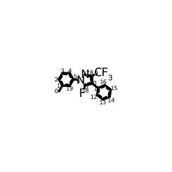 Cc1cccc(-n2nc(C(F)(F)F)c(-c3ccccc3)c2F)c1